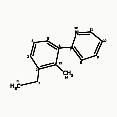 CCc1cccc(-c2ccccn2)c1C